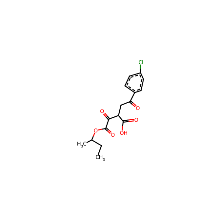 CCC(C)OC(=O)C(=O)C(CC(=O)c1ccc(Cl)cc1)C(=O)O